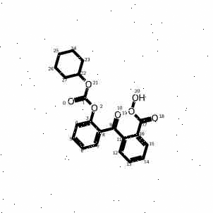 O=C(Oc1ccccc1C(=O)c1ccccc1C(=O)OO)OC1CCCCC1